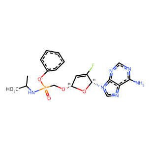 CC(NP(=O)(CO[C@@H]1C=C(F)[C@H](n2cnc3c(N)ncnc32)O1)Oc1ccccc1)C(=O)O